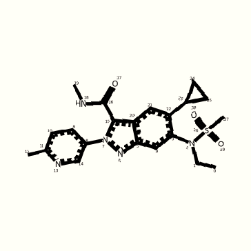 CCN(c1cc2nn(-c3ccc(C)nc3)c(C(=O)NC)c2cc1C1CC1)S(C)(=O)=O